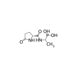 CC(NC(=O)[C@@H]1CCC(=O)N1)P(O)O